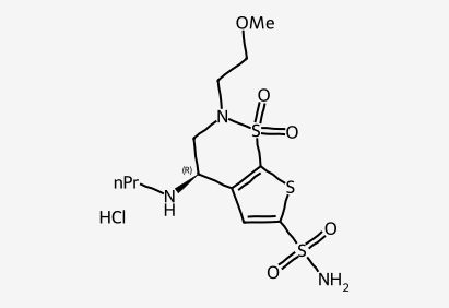 CCCN[C@H]1CN(CCOC)S(=O)(=O)c2sc(S(N)(=O)=O)cc21.Cl